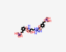 N=C(NCCCC(NC(=O)Oc1cccc(CCON(O)O)c1)C(=O)O)NC(=O)Oc1cccc(CCON(O)O)c1